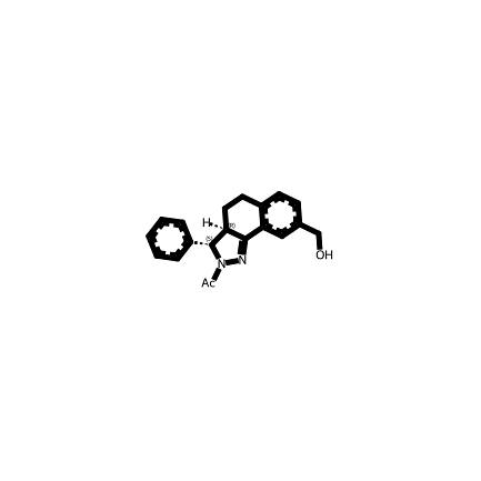 CC(=O)N1N=C2c3cc(CO)ccc3CC[C@@H]2[C@H]1c1ccccc1